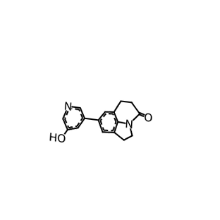 O=C1CCc2cc(-c3cncc(O)c3)cc3c2N1CC3